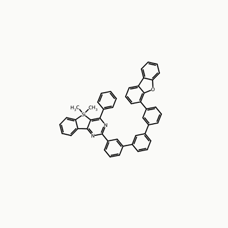 C[Si]1(C)c2ccccc2-c2nc(-c3cccc(-c4cccc(-c5cccc(-c6cccc7c6oc6ccccc67)c5)c4)c3)nc(-c3ccccc3)c21